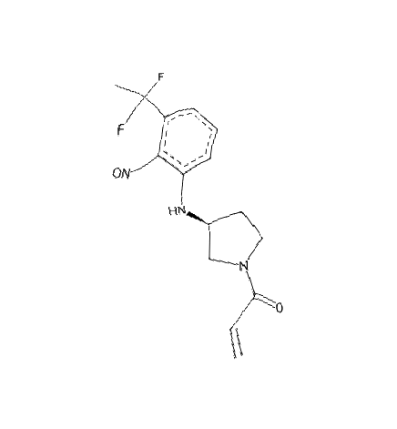 C=CC(=O)N1CC[C@H](Nc2cccc(C(C)(F)F)c2N=O)C1